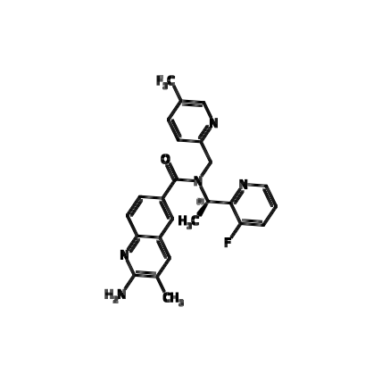 Cc1cc2cc(C(=O)N(Cc3ccc(C(F)(F)F)cn3)[C@H](C)c3ncccc3F)ccc2nc1N